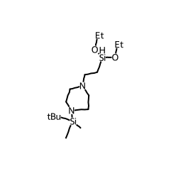 CCO[SiH](CCN1CCN([Si](C)(C)C(C)(C)C)CC1)OCC